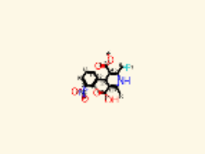 COC(=O)C1=C(CF)NC(C)=C(C(=O)O)C1c1cccc([N+](=O)[O-])c1